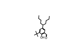 CCCCC(CCCC)c1cc(C=O)c(O)c(C(C)(C)C)c1